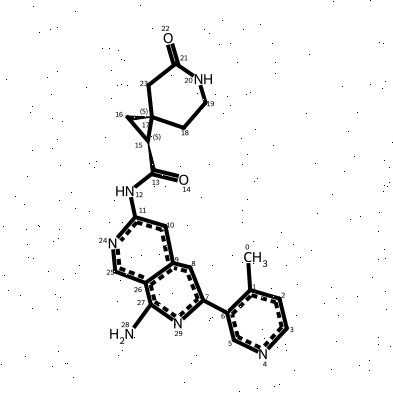 Cc1ccncc1-c1cc2cc(NC(=O)[C@H]3C[C@@]34CCNC(=O)C4)ncc2c(N)n1